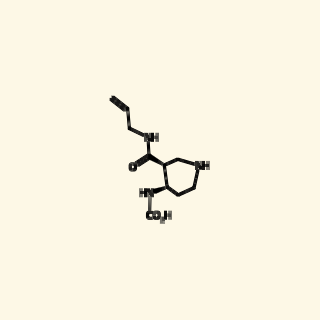 C=CCNC(=O)[C@H]1CNCC[C@H]1NC(=O)O